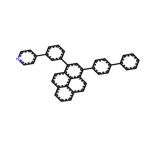 c1ccc(-c2ccc(-c3cc(-c4cccc(-c5ccncc5)c4)c4ccc5cccc6ccc3c4c65)cc2)cc1